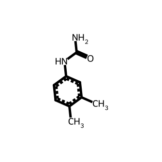 Cc1ccc(NC(N)=O)cc1C